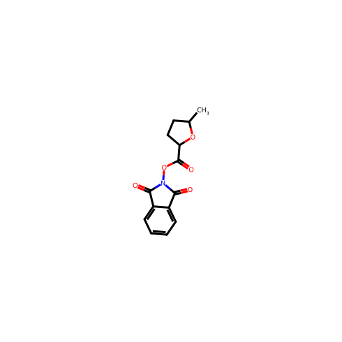 CC1CCC(C(=O)ON2C(=O)c3ccccc3C2=O)O1